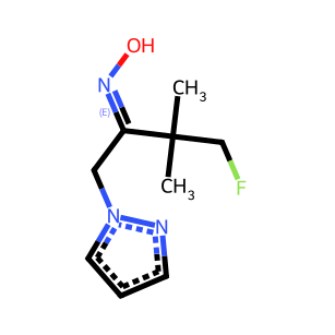 CC(C)(CF)/C(Cn1cccn1)=N\O